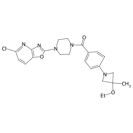 CCOC1(C)CN(c2ccc(C(=O)N3CCN(c4nc5nc(Cl)ccc5o4)CC3)cc2)C1